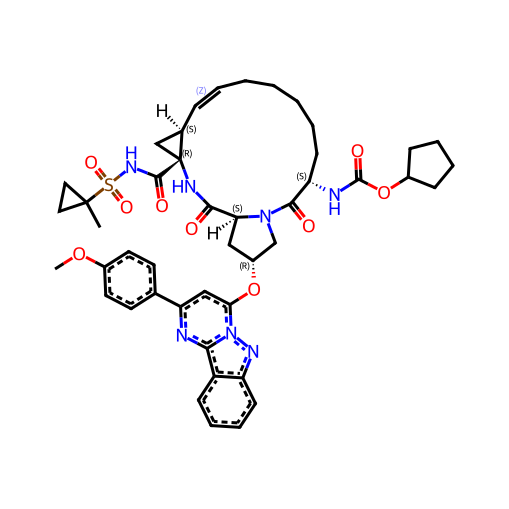 COc1ccc(-c2cc(O[C@@H]3C[C@H]4C(=O)N[C@]5(C(=O)NS(=O)(=O)C6(C)CC6)C[C@H]5/C=C\CCCCC[C@H](NC(=O)OC5CCCC5)C(=O)N4C3)n3nc4ccccc4c3n2)cc1